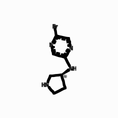 Brc1cnc(N[C@H]2CCNC2)cn1